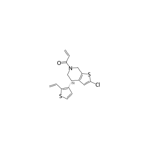 C=CC(=O)N1Cc2sc(Cl)cc2[C@H](c2ccsc2C=C)C1